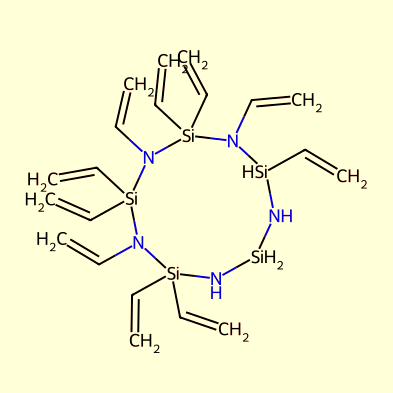 C=CN1[SiH](C=C)N[SiH2]N[Si](C=C)(C=C)N(C=C)[Si](C=C)(C=C)N(C=C)[Si]1(C=C)C=C